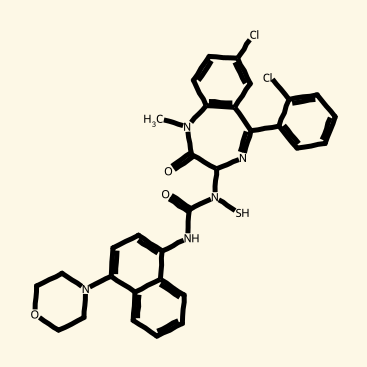 CN1C(=O)C(N(S)C(=O)Nc2ccc(N3CCOCC3)c3ccccc23)N=C(c2ccccc2Cl)c2cc(Cl)ccc21